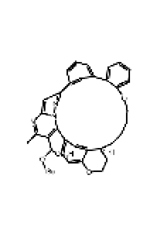 Cc1nc2cc3nn2c(c1[C@H](OC(C)(C)C)C(=O)O)-c1ccc2c(c1)[C@@H](CCCCOc1ccccc1-c1cccc-3c1)CCO2